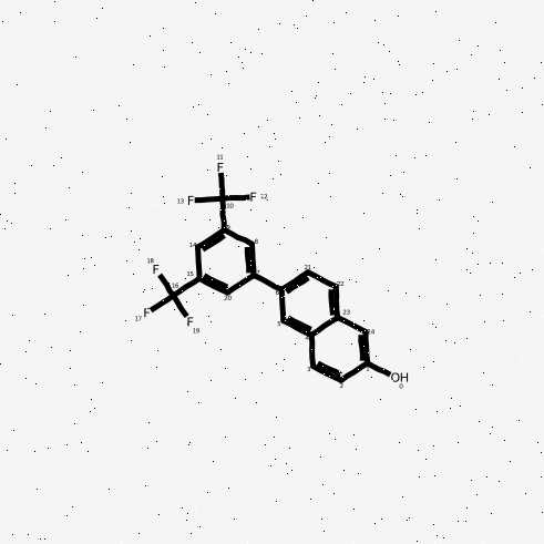 Oc1ccc2cc(-c3cc(C(F)(F)F)cc(C(F)(F)F)c3)ccc2c1